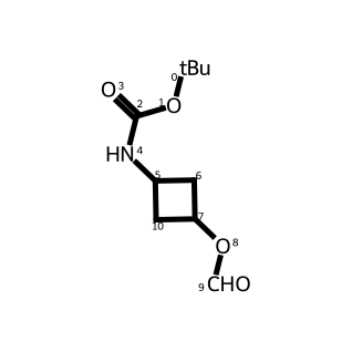 CC(C)(C)OC(=O)NC1CC(OC=O)C1